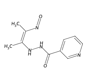 CC(N=O)=C(C)NNC(=O)c1cccnc1